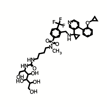 CN(CCCCNC(=O)NC(CO)C(O)C(O)C(O)CO)S(=O)(=O)c1ccc(C(F)(F)F)c(CNC2(c3cnccc3-c3ccccc3OC3CC3)CC2)c1